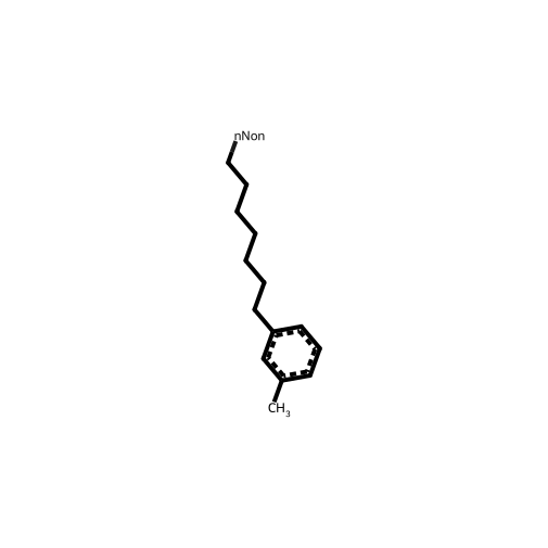 CCCCCCCCCCCCCCCCc1cccc(C)c1